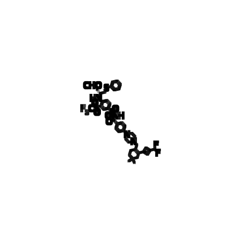 CC1(C)CCC(CN2CCN(c3ccc(C(=O)NS(=O)(=O)c4ccc(N[C@H](CC=O)CSc5ccccc5)c(S(=O)(=O)C(F)(F)F)c4)cc3)CC2)=C(C23CC(C(F)F)(C2)C3)C1